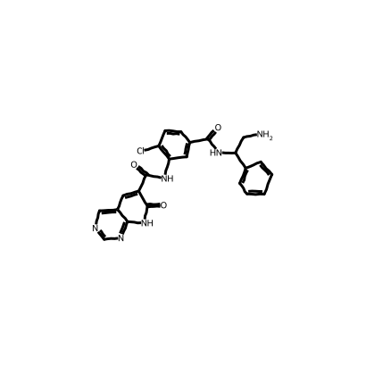 NCC(NC(=O)c1ccc(Cl)c(NC(=O)c2cc3cncnc3[nH]c2=O)c1)c1ccccc1